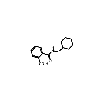 O=C(O)c1ccccc1C(=O)NSC1CCCCC1